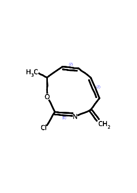 C=C1/C=C\C=C/C(C)O/C(Cl)=N\1